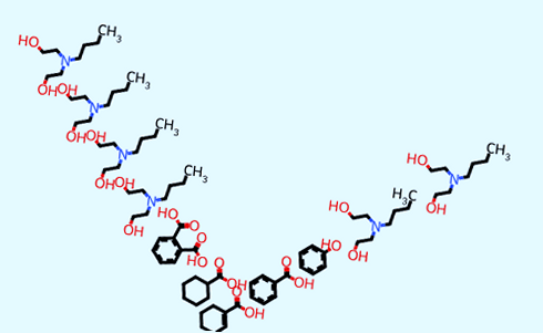 CCCCN(CCO)CCO.CCCCN(CCO)CCO.CCCCN(CCO)CCO.CCCCN(CCO)CCO.CCCCN(CCO)CCO.CCCCN(CCO)CCO.O=C(O)C1=CCCCC1.O=C(O)C1CCCCC1.O=C(O)c1ccccc1.O=C(O)c1ccccc1C(=O)O.Oc1ccccc1